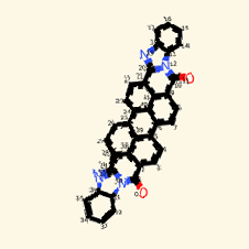 O=c1c2ccc3c4ccc5c(=O)n6c7ccccc7nc6c6ccc(c7ccc(c8n1C1C=CC=CC1N=8)c2c37)c4c56